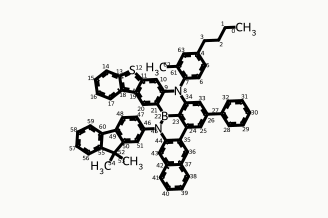 CCCCc1ccc(N2c3cc4sc5ccccc5c4cc3B3c4c(cc(-c5ccccc5)cc42)-c2cc4ccccc4cc2N3c2ccc3c(c2)C(C)(C)c2ccccc2-3)c(C)c1